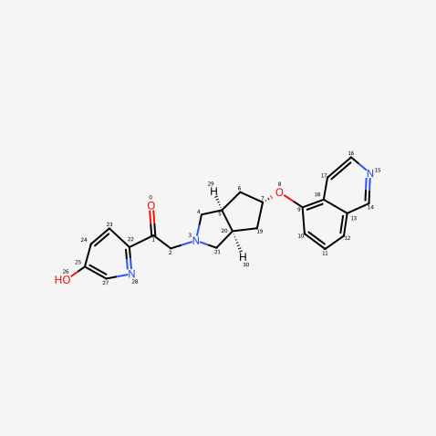 O=C(CN1C[C@H]2C[C@H](Oc3cccc4cnccc34)C[C@H]2C1)c1ccc(O)cn1